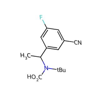 CC(c1cc(F)cc(C#N)c1)N(C(=O)O)C(C)(C)C